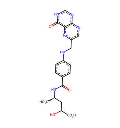 O=C(N[C@@H](CC(O)C(=O)O)C(=O)O)c1ccc(NCc2cnc3nc[nH]c(=O)c3n2)cc1